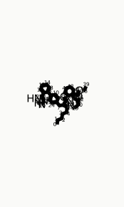 CCCCCc1c(Cc2ccc(-c3ccccc3-c3nnn[nH]3)cc2)c(=O)n2n1CC=C(C)C2C1(C(=O)OCC)CCCCC1